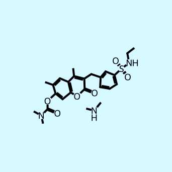 CCNS(=O)(=O)c1cccc(Cc2c(C)c3cc(C)c(OC(=O)N(C)C)cc3oc2=O)c1.CNC